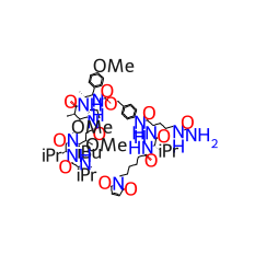 CC[C@H](C)C([C@@H](CC(=O)N1CCC[C@H]1[C@H](OC)[C@@H](C)C(=O)N[C@H](C)C(NC(=O)OCc1ccc(NC(=O)C(CCCNC(N)=O)NC(=O)[C@@H](NC(=O)CCCCCN2C(=O)C=CC2=O)C(C)C)cc1)c1ccc(OC)cc1)OC)N(C)C(=O)[C@@H](NC(=O)[C@H](C(C)C)N(C)C)C(C)C